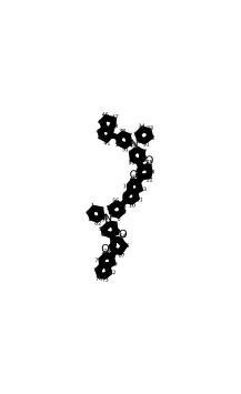 c1ccc(N(c2ccc(-c3ccc4cc5c(cc4c3)oc3c5ccc4oc5cc(N(c6ccccc6)c6ccc(-c7cccc8ccccc78)cc6)ccc5c43)cc2)c2ccc3c(c2)oc2ccc4c5cc6ccccc6cc5oc4c23)cc1